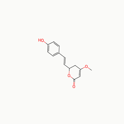 COC1=CC(=O)OC(/C=C/c2ccc(O)cc2)C1